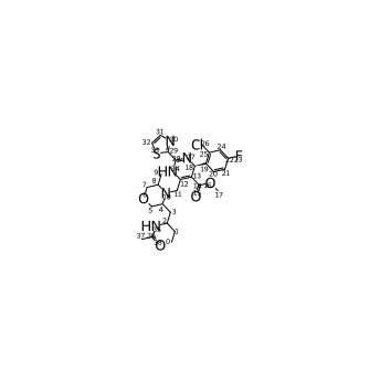 CCC(CC1COCC(C)N1CC1=C(C(=O)OC)[C@H](c2ccc(F)cc2Cl)N=C(c2nccs2)N1)NC(C)=O